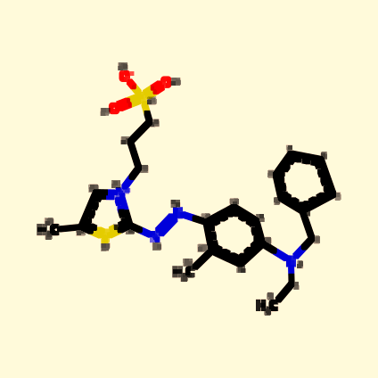 CCN(Cc1ccccc1)c1ccc(/N=N/c2sc(C)c[n+]2CCCS(=O)(=O)[O-])c(C)c1